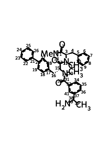 CNC(=O)[C@@H](Cc1ccccc1)N(C)C(=O)[C@@H](Cc1ccc(-c2ccccc2)cc1)N(C)C(=O)c1cccc(C(C)N)c1